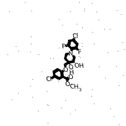 COC(=O)c1cc(Cl)ccc1OC[C@]1(O)CCN(c2c(F)cc(Cl)cc2F)C[C@H]1O